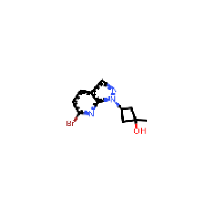 CC1(O)CC(n2ncc3ccc(Br)nc32)C1